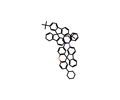 CC(C)(C)c1ccc2c(c1)C1(C3=C(CCC=C3)c3ccc(N(c4ccccc4)c4ccc5c(c4)C4(c6cc(C7CCCCC7)ccc6Oc6ccc(C7CCCCC7)cc64)c4ccccc4-5)cc31)c1cc(C(C)(C)C)ccc1-2